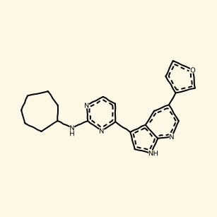 c1cc(-c2c[nH]c3ncc(-c4ccoc4)cc23)nc(NC2CCCCCC2)n1